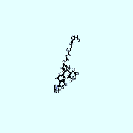 COCCOCCCCn1cc(-c2ccc3c(c2)CC/C3=N\O)c(-c2ccncc2)n1